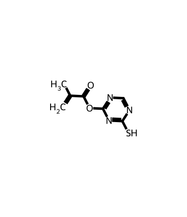 C=C(C)C(=O)Oc1ncnc(S)n1